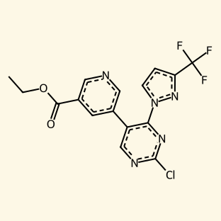 CCOC(=O)c1cncc(-c2cnc(Cl)nc2-n2ccc(C(F)(F)F)n2)c1